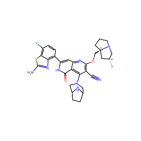 N#Cc1c(OC[C@@]23CCCN2C[C@H](F)C3)nc2cc(-c3ccc(F)c4sc(N)nc34)[nH]c(=O)c2c1N1CC2CCC(C1)N2